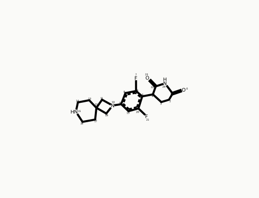 O=C1CCC(c2c(F)cc(N3CC4(CCNCC4)C3)cc2F)C(=O)N1